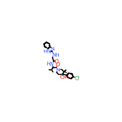 CC(C)[C@@H](NC(=O)CNc1nc2ccccc2[nH]1)C(=O)N1CC[C@](O)(c2ccc(Cl)cc2)C(C)(C)C1